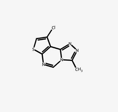 Cc1nnc2c3c(Cl)csc3ncn12